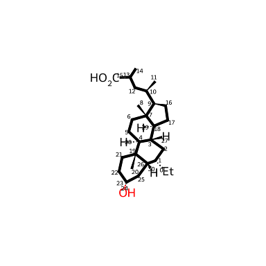 CC[C@H]1C[C@@H]2[C@H](CC[C@]3(C)[C@@H]([C@H](C)CC(C)C(=O)O)CC[C@@H]23)[C@@]2(C)CC[C@@H](O)C[C@@H]12